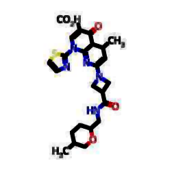 CC1CCC(CNC(=O)C2CN(C3=CC(C)C4C(=O)C(C(=O)O)=CN(c5nccs5)C4=N3)C2)OC1